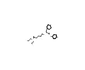 CCOc1ccc(NC(=O)[C@@H](NC(=O)[C@@H](N)CCC(=O)N(CCN)CCN)[C@H](O)c2ccc(C(F)(F)F)cc2)cc1